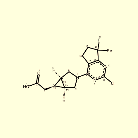 O=C(O)C[C@H]1[C@H]2CN(c3nc(Cl)nc4c3CCC4(F)F)C[C@@H]12